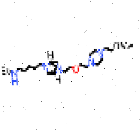 CCNCCCCCN1C[C@@H]2C[C@H]1CN2CCOCCN1CCN(CCOC)CC1